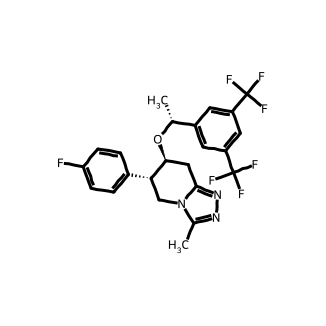 Cc1nnc2n1C[C@H](c1ccc(F)cc1)[C@@H](O[C@H](C)c1cc(C(F)(F)F)cc(C(F)(F)F)c1)C2